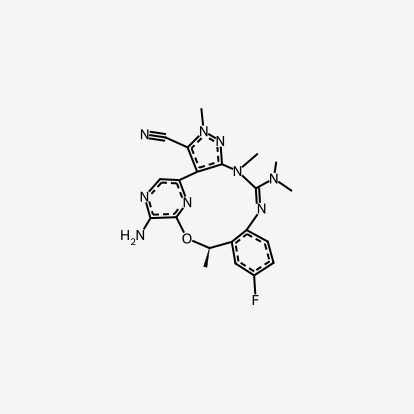 C[C@H]1Oc2nc(cnc2N)-c2c(nn(C)c2C#N)N(C)/C(N(C)C)=N\c2ccc(F)cc21